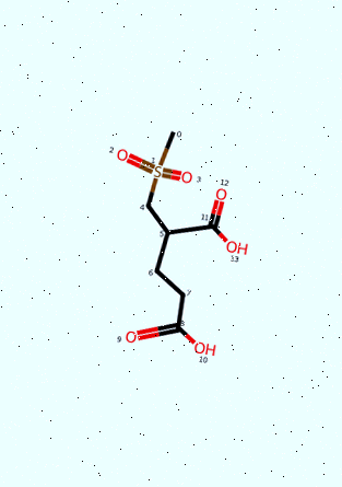 CS(=O)(=O)CC(CCC(=O)O)C(=O)O